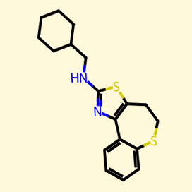 c1ccc2c(c1)SCCc1sc(NCC3CCCCC3)nc1-2